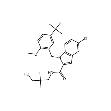 COc1ccc(C(C)(C)C)cc1Cn1c(C(=O)NCC(C)(C)CO)cc2cc(Cl)ccc21